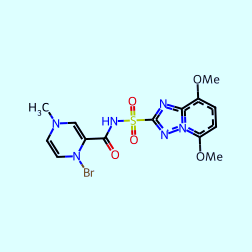 COc1ccc(OC)n2nc(S(=O)(=O)NC(=O)C3=CN(C)C=CN3Br)nc12